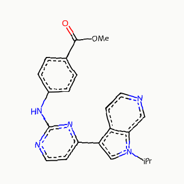 COC(=O)c1ccc(Nc2nccc(-c3cn(C(C)C)c4cnccc34)n2)cc1